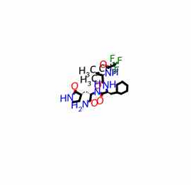 CC(C)(C)[C@H](NC(=O)C(F)(F)F)C(=O)N[C@@H](CC1CCCCC1)C(=O)N[C@@H](C[C@@H]1CCNC1=O)C(N)=O